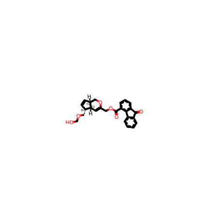 O=C(OCC1=C[C@H]2[C@H](C=C[C@H]2COCO)CO1)c1cccc2c1-c1ccccc1C2=O